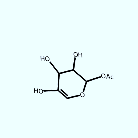 CC(=O)OC1OC=C(O)C(O)C1O